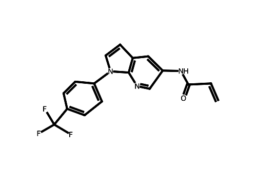 C=CC(=O)Nc1cnc2c(ccn2-c2ccc(C(F)(F)F)cc2)c1